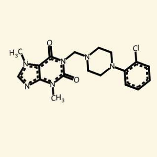 Cn1cnc2c1c(=O)n(CN1CCN(c3ccccc3Cl)CC1)c(=O)n2C